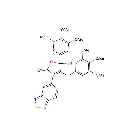 COc1cc(CC2=C(c3ccc4nsnc4c3)C(=O)OC2(O)c2cc(OC)c(OC)c(OC)c2)cc(OC)c1OC